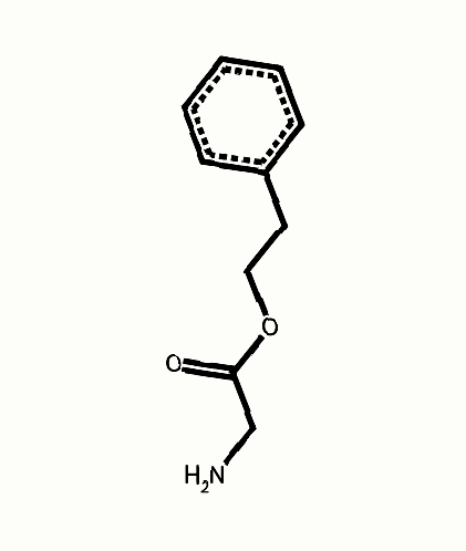 NCC(=O)OCCc1ccccc1